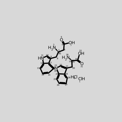 Cl.Cl.N[C@@H](CC(=O)O)Cc1c[nH]c2ccccc12.N[C@H](Cc1c[nH]c2ccccc12)C(=O)O